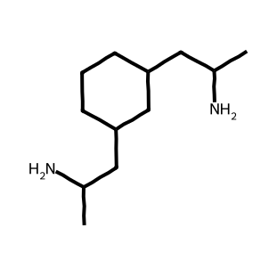 CC(N)CC1CCCC(CC(C)N)C1